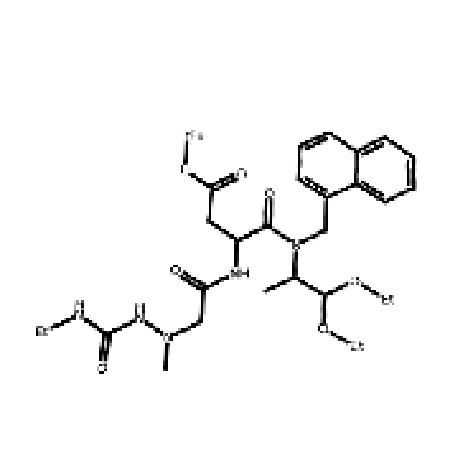 CCNC(=O)NN(C)CC(=O)NC(CC(=O)OC(C)(C)C)C(=O)N(Cc1cccc2ccccc12)C(C)C(OCC)OCC